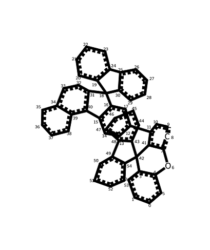 c1ccc2c(c1)Oc1cccc(-c3ccc4c(c3)C3(c5ccccc5-c5ccccc53)c3ccc5ccccc5c3-4)c1C21c2ccccc2-c2ccccc21